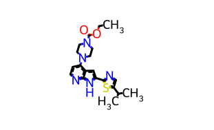 CCOC(=O)N1CCN(c2ccnc3[nH]c(-c4ncc(C(C)C)s4)cc23)CC1